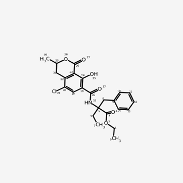 CCOC(=O)C(CC)(Cc1ccccc1)NC(=O)c1cc(Cl)c2c(c1O)C(=O)OC(C)C2